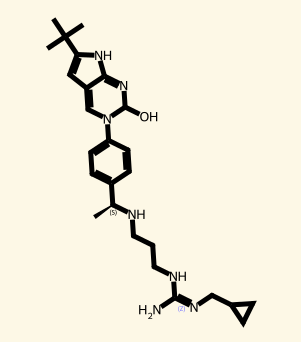 C[C@H](NCCCN/C(N)=N\CC1CC1)c1ccc(N2C=c3cc(C(C)(C)C)[nH]c3=NC2O)cc1